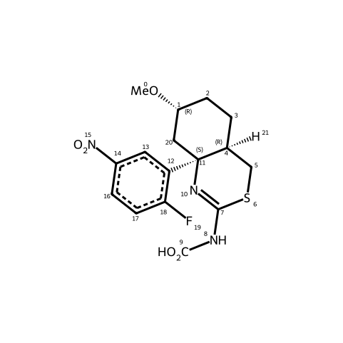 CO[C@@H]1CC[C@H]2CSC(NC(=O)O)=N[C@@]2(c2cc([N+](=O)[O-])ccc2F)C1